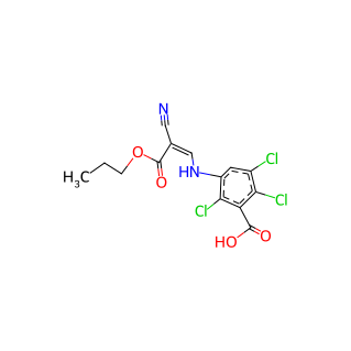 CCCOC(=O)C(C#N)=CNc1cc(Cl)c(Cl)c(C(=O)O)c1Cl